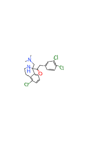 CN(C)CC1(C(=O)Cc2ccc(Cl)c(Cl)c2)NCCc2c(Cl)cccc21